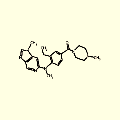 CCc1cc(C(=O)N2CCN(C)CC2)ccc1N(C)c1cc2c(cn1)ncn2C